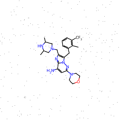 Cc1c(Cc2c(CN3CC(C)NC(C)C3)nc3c(N)cc(N4CCOCC4)nn23)cccc1C(F)(F)F